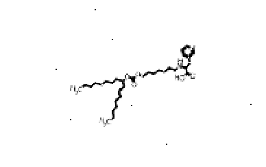 CCCCCCCCC(CCCCCCCC)OC(=O)OCCCCCCCNC(Cc1cccnc1)C(=O)O